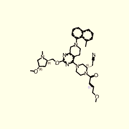 COC/C=C/C(=O)N1CCN(c2nc(OC[C@H]3C[C@@H](OC)CN3C)nc3c2CCN(c2cccc4cccc(C)c24)C3)C[C@@H]1CC#N